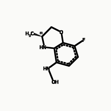 C[C@@H]1COc2c(F)ccc(NO)c2N1